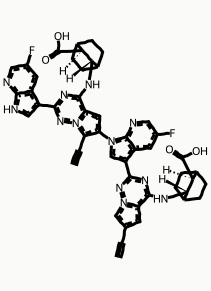 C#Cc1cc2c(N[C@H]3C4CCC(CC4)[C@@H]3C(=O)O)nc(-c3cn(-c4cc5c(N[C@H]6C7CCC(CC7)[C@@H]6C(=O)O)nc(-c6c[nH]c7ncc(F)cc67)nn5c4C#C)c4ncc(F)cc34)nn2c1